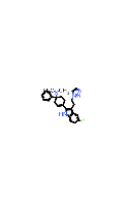 CN(C)C1(c2ccccc2)CC=C(c2[nH]c3ccc(F)cc3c2CCn2ccnn2)CC1